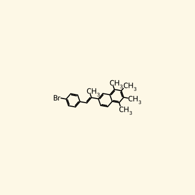 CC(=Cc1ccc(Br)cc1)c1ccc2c(C)c(C)c(C)c(C)c2c1